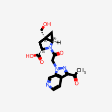 CC(=O)c1nn(CC(=O)N2[C@H](C(=O)O)C[C@@]3(CO)C[C@@H]23)c2cnccc12